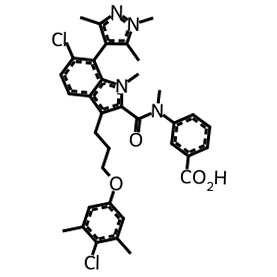 Cc1cc(OCCCc2c(C(=O)N(C)c3cccc(C(=O)O)c3)n(C)c3c(-c4c(C)nn(C)c4C)c(Cl)ccc23)cc(C)c1Cl